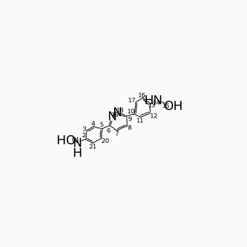 ONc1ccc(-c2ccc(-c3ccc(NO)cc3)nn2)cc1